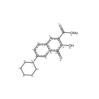 COC(=O)c1nc2ccc(N3CCCCC3)cn2c(=O)c1O